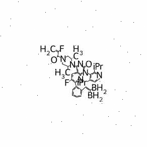 BC(B)=Cc1ccccc1-c1nc2c(cc1F)c(N1[C@@H](C)CN(C(=O)C(=C)F)C[C@@H]1C)nc(=O)n2-c1c(C(C)C)ccnc1C(C)C